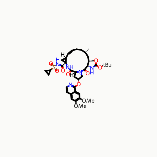 COc1cc2ccnc(O[C@@H]3C[C@H]4C(=O)N[C@]5(C(=O)NS(=O)(=O)C6CC6)C[C@H]5/C=C\CC[C@H](C)C[C@@H](C)[C@H](NC(=O)OC(C)(C)C)C(=O)N4C3)c2cc1OC